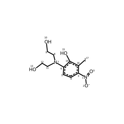 O=[N+]([O-])c1ccc(N(CCO)CCO)c(O)c1I